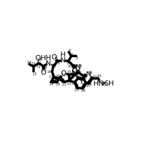 CC(C)C1NC(=O)[C@@H](NC(=O)[C@@H](O)C(C)C)Cc2ccc3c(c2)C2(c4ccccc4NC2O3)c2oc1nc2-c1nc(CNS)co1